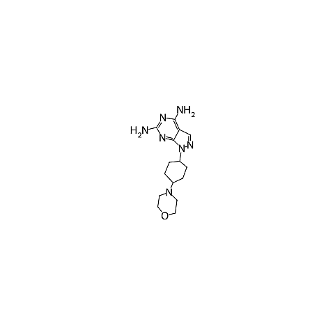 Nc1nc(N)c2cnn(C3CCC(N4CCOCC4)CC3)c2n1